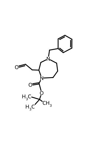 CC(C)(C)OC(=O)N1CCCN(Cc2ccccc2)CC1CC=O